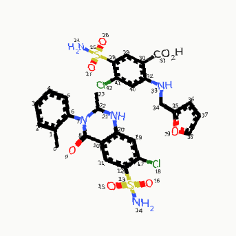 Cc1ccccc1N1C(=O)c2cc(S(N)(=O)=O)c(Cl)cc2NC1C.NS(=O)(=O)c1cc(C(=O)O)c(NCc2ccco2)cc1Cl